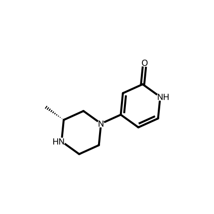 C[C@@H]1CN(c2cc[nH]c(=O)c2)CCN1